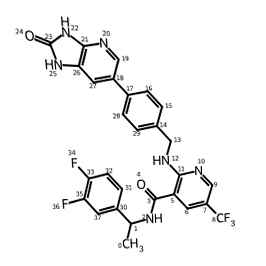 CC(NC(=O)c1cc(C(F)(F)F)cnc1NCc1ccc(-c2cnc3[nH]c(=O)[nH]c3c2)cc1)c1ccc(F)c(F)c1